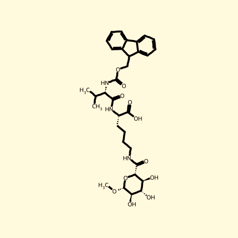 CO[C@@H]1O[C@H](C(=O)NCCCC[C@H](NC(=O)[C@@H](NC(=O)OCC2c3ccccc3-c3ccccc32)C(C)C)C(=O)O)[C@@H](O)[C@H](O)[C@H]1O